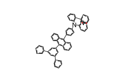 c1ccc(-c2cc(-c3ccccc3)cc(-c3c4ccccc4c(-c4ccc(N(c5ccccn5)c5ccccc5-c5ccccc5)cc4)c4ccccc34)c2)cc1